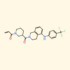 C=CC(=O)N1CCCC(C(=O)N2CCc3c(cccc3Nc3ccc(C(F)(F)F)cc3)C2)C1